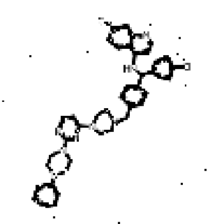 Clc1ccc(C(Nc2ccnc3cc(Cl)ccc23)c2ccc(CN3CCN(c4ccnc(N5CCN(c6ccccc6)CC5)n4)CC3)cc2)cc1